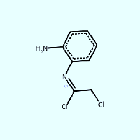 Nc1ccccc1/N=C(/Cl)CCl